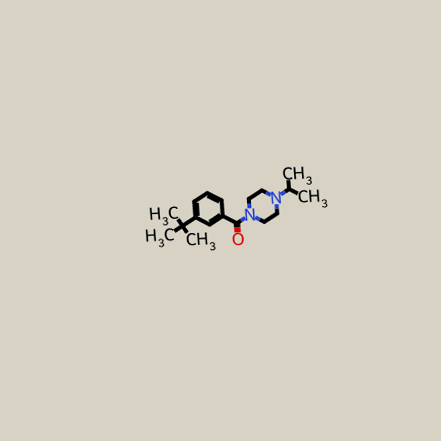 CC(C)N1CCN(C(=O)c2cccc(C(C)(C)C)c2)CC1